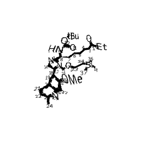 CCC(=O)CCCCC[C@H](NC(=O)OC(C)(C)C)c1ncc(-c2cc3ccc(C)nc3cc2OC)n1COCC[Si](C)(C)C